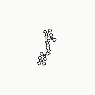 c1ccc(N(c2cccc(C3(c4ccccc4)c4ccccc4-c4ccccc43)c2)c2ccc3sc4cc5cc6c(cc5cc4c3c2)sc2ccc(N(c3ccccc3)c3cccc(C4(c5ccccc5)c5ccccc5-c5ccccc54)c3)cc26)cc1